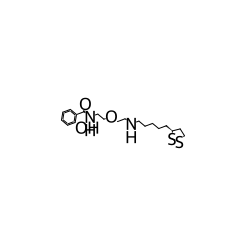 O=C(NCCOCCNCCCCC[C@H]1CCSS1)c1ccccc1O